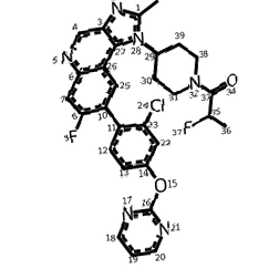 Cc1nc2cnc3cc(F)c(-c4ccc(Oc5ncccn5)cc4Cl)cc3c2n1C1CCN(C(=O)C(C)F)CC1